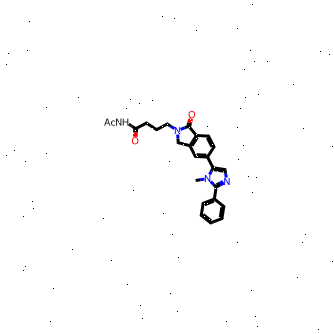 CC(=O)NC(=O)CCCN1Cc2cc(-c3cnc(-c4ccccc4)n3C)ccc2C1=O